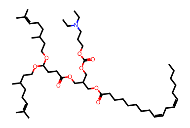 CCCCC/C=C\C/C=C\CCCCCCCC(=O)OCC(COC(=O)CCC(OCCC(C)CCC=C(C)C)OCCC(C)CCC=C(C)C)COC(=O)OCCCN(CC)CC